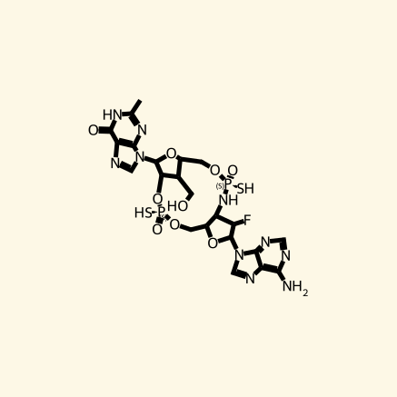 Cc1nc2c(ncn2C2OC3CO[P@](=O)(S)NC4C(CO[P@](=O)(S)OC2C3CO)OC(n2cnc3c(N)ncnc32)C4F)c(=O)[nH]1